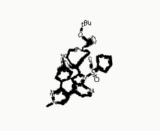 Cn1cc(-c2ccnc3c2cc(C2(O)CCN(C(=O)OC(C)(C)C)CC2)n3S(=O)(=O)c2ccccc2)c(-c2ccc([N+](=O)[O-])cc2)n1